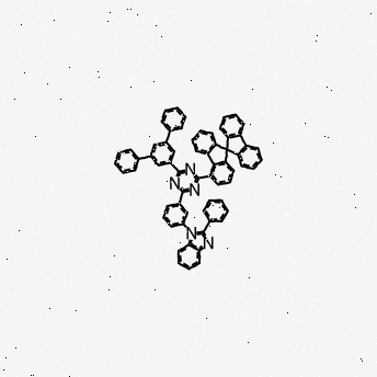 c1ccc(-c2cc(-c3ccccc3)cc(-c3nc(-c4cccc(-n5c(-c6ccccc6)nc6ccccc65)c4)nc(-c4cccc5c4-c4ccccc4C54c5ccccc5-c5ccccc54)n3)c2)cc1